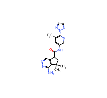 CC1(C)CC(C(=O)Nc2cnc(-n3nccn3)c(C(F)(F)F)c2)c2cnnc(N)c21